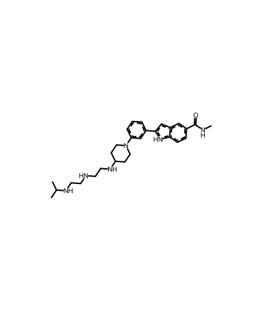 CNC(=O)c1ccc2[nH]c(-c3cccc(N4CCC(NCCNCCNC(C)C)CC4)c3)cc2c1